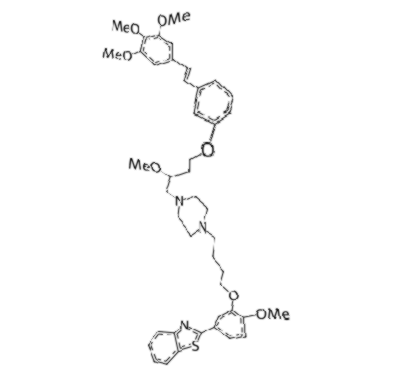 COc1ccc(-c2nc3ccccc3s2)cc1OCCCCN1CCN(CC(CCOc2cccc(C=Cc3cc(OC)c(OC)c(OC)c3)c2)OC)CC1